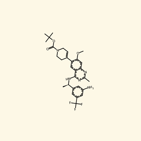 COc1cc2nc(C)nc(N[C@H](C)c3cc(N)cc(C(F)(F)F)c3)c2cc1C1=CCN(C(=O)OC(C)(C)C)CC1